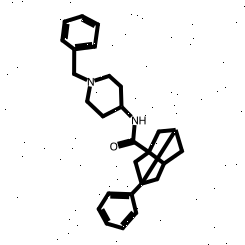 O=C(NC1CCN(Cc2ccccc2)CC1)C12CC3CC1CC3(c1ccccc1)C2